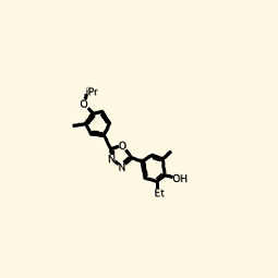 CCc1cc(-c2nnc(-c3ccc(OC(C)C)c(C)c3)o2)cc(C)c1O